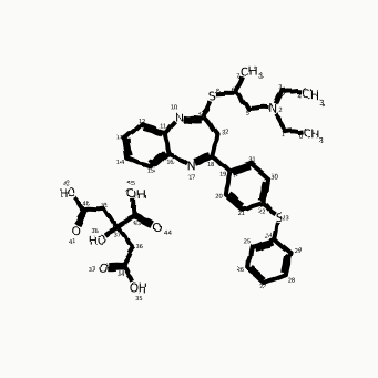 CCN(CC)CC(C)SC1=Nc2ccccc2N=C(c2ccc(Sc3ccccc3)cc2)C1.O=C(O)CC(O)(CC(=O)O)C(=O)O